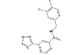 O=C(NCc1ccc(F)c(Cl)c1)c1cc(-c2nn[nH]n2)ncn1